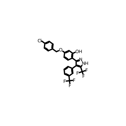 Oc1cc(OCc2ccc(Cl)cc2)ccc1-c1n[nH]c(C(F)(F)F)c1-c1cccc(C(F)(F)F)c1